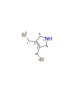 BrCC1=C(CBr)CNC1